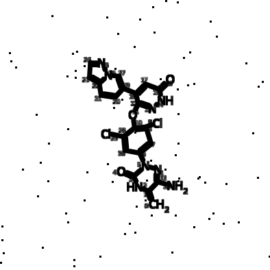 C=C1NC(=O)N(c2cc(Cl)c(Oc3n[nH]c(=O)cc3-c3ccc4ccnn4c3)c(Cl)c2)N=C1N